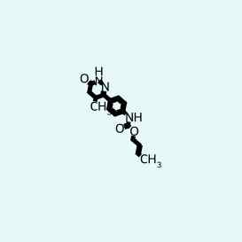 CC=CCOC(=O)Nc1ccc(C2=NNC(=O)CC2C)cc1